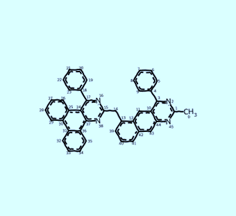 Cc1nc(-c2ccccc2)c2cc3c(Cc4nc(-c5ccccc5)c5c6ccccc6c6ccccc6c5n4)cccc3cc2n1